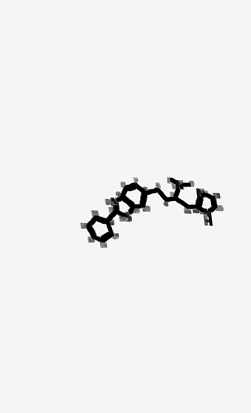 CN(C)C(CCc1ccc2nc(-c3ccccc3)sc2c1)Cc1ncc[nH]1